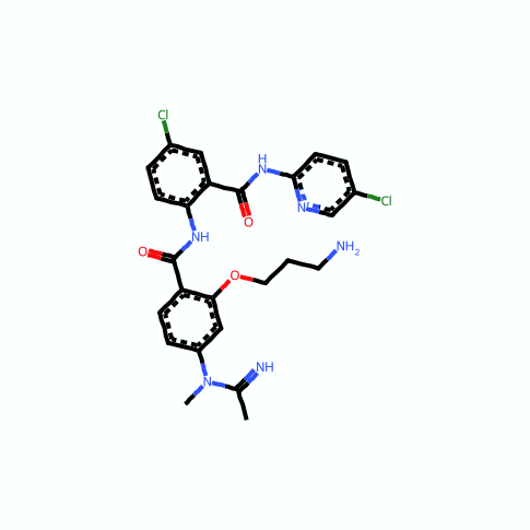 CC(=N)N(C)c1ccc(C(=O)Nc2ccc(Cl)cc2C(=O)Nc2ccc(Cl)cn2)c(OCCCN)c1